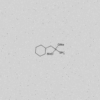 CO[Si]([SiH3])(CC1CCCCC1)OC